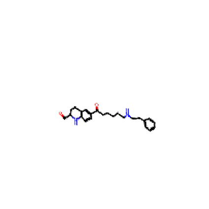 O=CC1CCc2cc(C(=O)CCCCCNCCc3ccccc3)ccc2N1